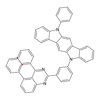 c1ccc(-c2cccc3nc(-c4cccc(-n5c6ccccc6c6cc7c(cc65)c5ccccc5n7-c5ccccc5)c4)nc(-c4ccccc4)c23)cc1